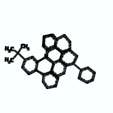 CC(C)(C)c1ccc(-c2ccccc2)c(N(c2ccccc2-c2ccc(-c3ccccc3)cc2)c2ccccc2-c2cccc3cccc(C4CCCCC4)c23)c1